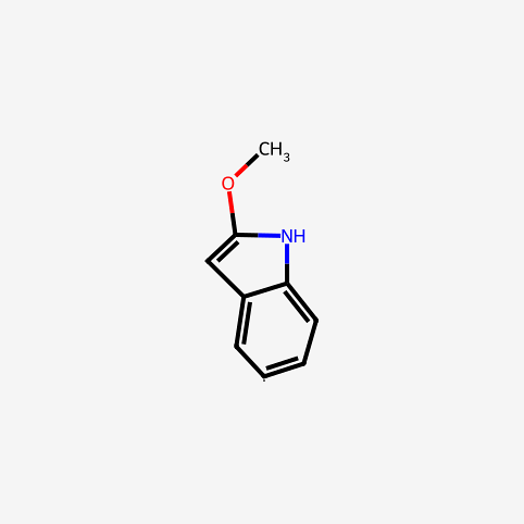 COc1cc2c[c]ccc2[nH]1